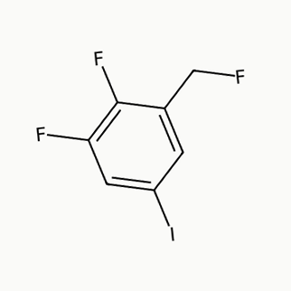 FCc1cc(I)cc(F)c1F